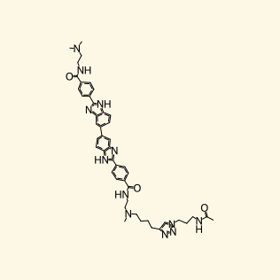 CC(=O)NCCCn1cc(CCCCN(C)CCNC(=O)c2ccc(-c3nc4cc(-c5ccc6[nH]c(-c7ccc(C(=O)NCCN(C)C)cc7)nc6c5)ccc4[nH]3)cc2)nn1